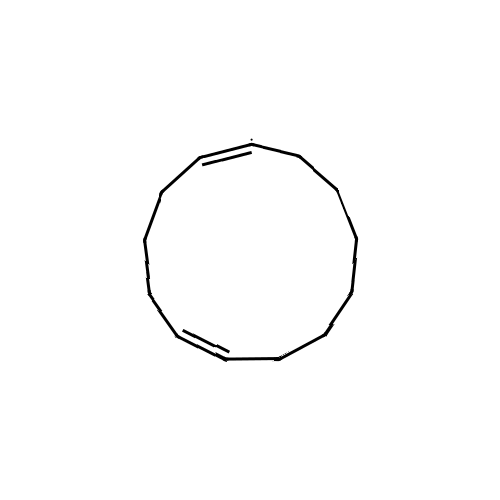 [C]1=CCCCC=CCCCCCC1